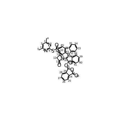 Cc1cc(C)nc(SC(=O)CC2CC(=O)N2C(C(=O)OC2OC(=O)c3ccccc32)=P(c2ccccc2)(c2ccccc2)c2ccccc2)n1